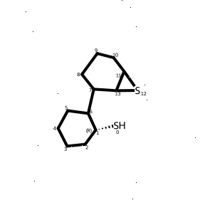 S[C@@H]1CCCCC1C1CCCC2SC21